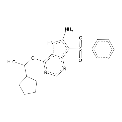 CC(Oc1ncnc2c(S(=O)(=O)c3ccccc3)c(N)[nH]c12)C1CCCC1